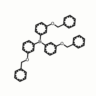 c1ccc(COc2ccc[c]([Bi]([c]3cccc(OCc4ccccc4)c3)[c]3cccc(OCc4ccccc4)c3)c2)cc1